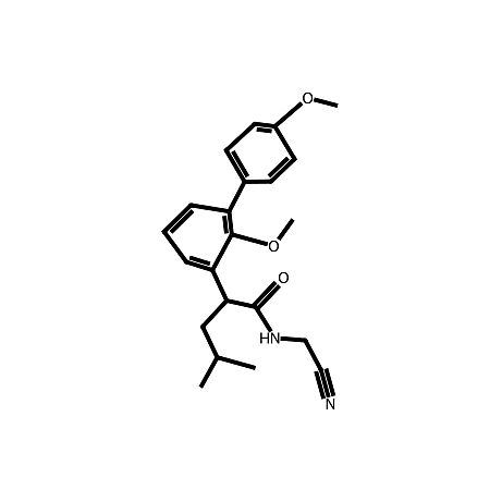 COc1ccc(-c2cccc(C(CC(C)C)C(=O)NCC#N)c2OC)cc1